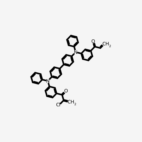 C=CC(=O)c1cccc(N(c2ccccc2)c2ccc(-c3ccc(N(c4ccccc4)c4cccc(C(=O)C(=C)Cl)c4)cc3)cc2)c1